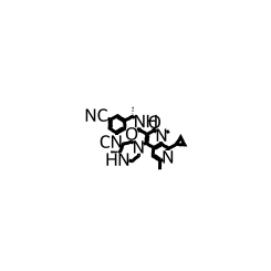 Cc1cc2c(N3CCN[C@@H](C)CC3)c(C(=O)N[C@@H](C)c3cc(C#N)cc(C#N)c3)c(=O)n(C)c2c(C2CC2)n1